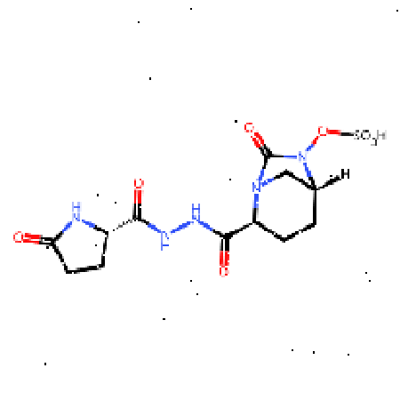 O=C1CC[C@@H](C(=O)NNC(=O)[C@@H]2CC[C@@H]3CN2C(=O)N3OS(=O)(=O)O)N1